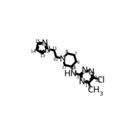 Cc1nc(N[C@@H]2CCCN(CCn3cccn3)C2)nnc1Cl